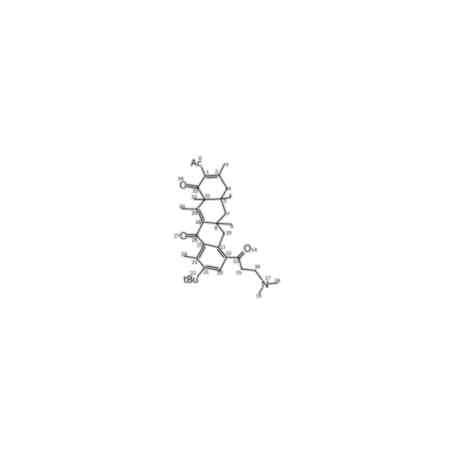 CC(=O)C1=C(C)CC2(C)CC3(C)Cc4c(C(=O)CCN(C)C)cc(C(C)(C)C)c(C)c4C(=O)C3=C(C)C2(C)C1=O